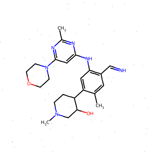 Cc1nc(Nc2cc(C3CCN(C)CC3O)c(C)cc2C=N)cc(N2CCOCC2)n1